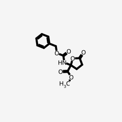 COC(=O)C1(NC(=O)OCc2ccccc2)CCC(=O)O1